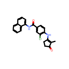 CC1=C(Nc2ccc(C(=O)Nc3cccc4ccccc34)cc2Cl)CCC1=O